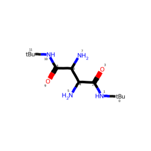 CC(C)(C)NC(=O)C(N)C(N)C(=O)NC(C)(C)C